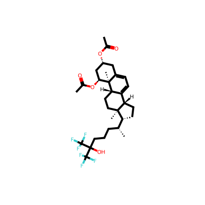 CC(=O)O[C@@H]1CC2=CC=C3[C@@H]4CC[C@H]([C@H](C)CCCC(O)(C(F)(F)F)C(F)(F)F)[C@@]4(C)CC[C@@H]3[C@@]2(C)[C@@H](OC(C)=O)C1